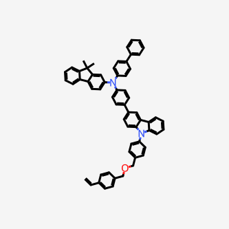 C=Cc1ccc(COCc2ccc(-n3c4ccccc4c4cc(-c5ccc(N(c6ccc(-c7ccccc7)cc6)c6ccc7c(c6)C(C)(C)c6ccccc6-7)cc5)ccc43)cc2)cc1